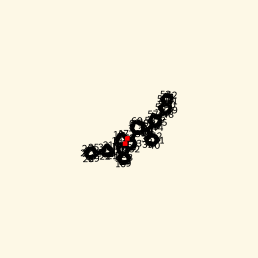 C1=CC(C2=CCC(c3ccccc3N(c3ccccc3)c3ccc(-c4ccccc4)cc3)C=C2)=CC(N(c2ccccc2)c2ccc(-c3ccc4ccccc4c3)cc2)C=C1